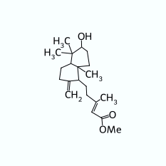 C=C1CCC2C(C)(C)C(O)CCC2(C)C1CC/C(C)=C/C(=O)OC